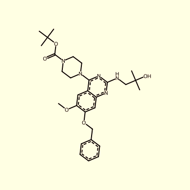 COc1cc2c(N3CCN(C(=O)OC(C)(C)C)CC3)nc(NCC(C)(C)O)nc2cc1OCc1ccccc1